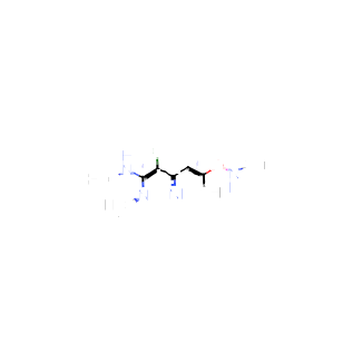 C=N/C(NC)=C(/Cl)C(=N)/C=C(\C)ONC